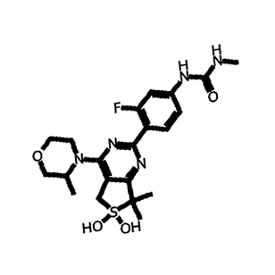 CNC(=O)Nc1ccc(-c2nc(N3CCOCC3C)c3c(n2)C(C)(C)S(O)(O)C3)c(F)c1